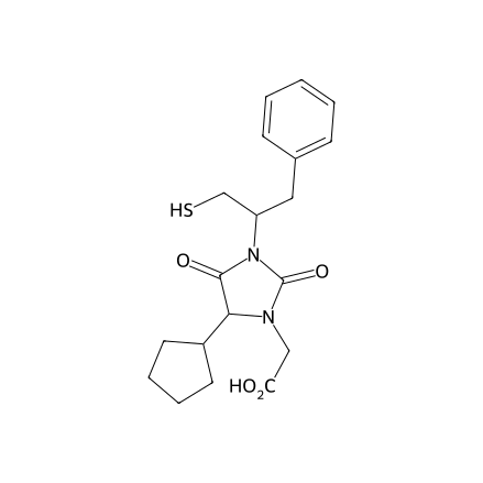 O=C(O)CN1C(=O)N(C(CS)Cc2ccccc2)C(=O)C1C1CCCC1